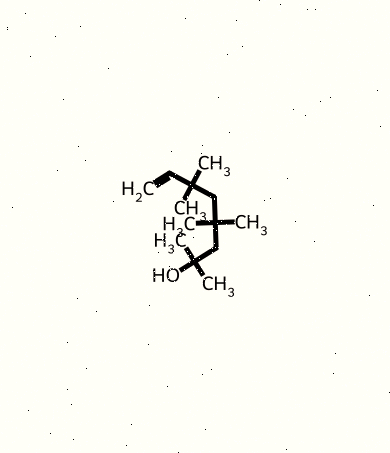 C=CC(C)(C)CC(C)(C)CC(C)(C)O